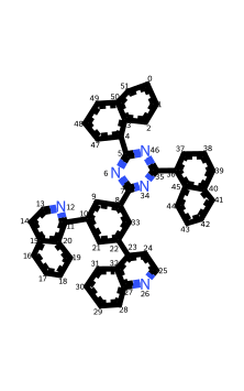 c1ccc2c(-c3nc(-c4cc(-c5nccc6ccccc56)cc(-c5ccnc6ccccc56)c4)nc(-c4cccc5ccccc45)n3)cccc2c1